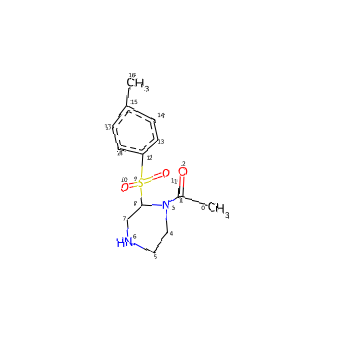 CC(=O)N1CCNCC1S(=O)(=O)c1ccc(C)cc1